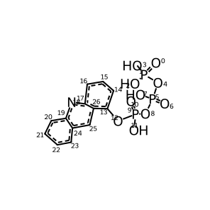 O=P(O)(O)OP(=O)(O)OP(=O)(O)Oc1cccc2nc3ccccc3cc12